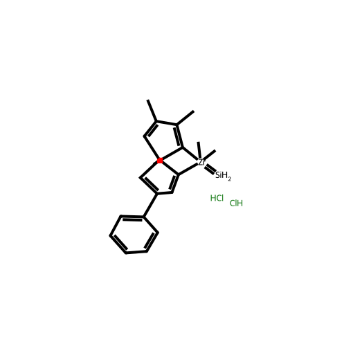 CC1=CC(C)[C]([Zr]([CH3])([CH3])(=[SiH2])[C]2=CC(c3ccccc3)=CC2)=C1C.Cl.Cl